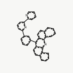 c1ccc(-c2cccc(-c3cccc(-c4c5ccc6ccccc6c5nc5c4ccc4ccccc45)c3)n2)nc1